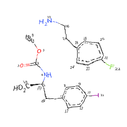 CC(C)(C)OC(=O)N[C@@H](Cc1ccc(I)cc1)C(=O)O.NCCc1ccc(F)cc1